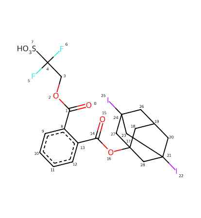 O=C(OCC(F)(F)S(=O)(=O)O)c1ccccc1C(=O)OC12CC3CC(I)(CC(I)(C3)C1)C2